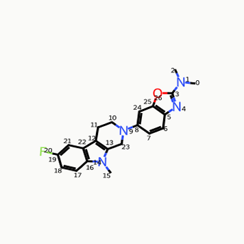 CN(C)c1nc2ccc(N3CCc4c(n(C)c5ccc(F)cc45)C3)cc2o1